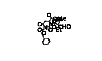 CCOC(OCC)(C(C)C=O)N1C(=O)N(C(=O)OCc2ccccc2)C(=O)CC1C(=O)OC